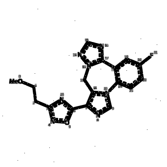 COCCc1noc(-c2ncn3c2Cn2ncnc2-c2cc(F)ccc2-3)n1